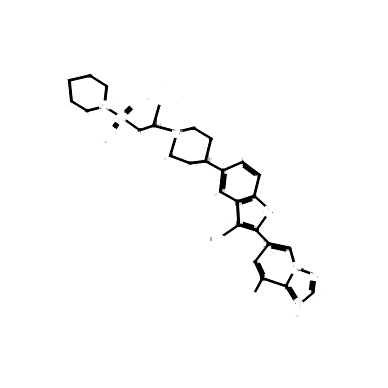 Cc1cc(-c2[nH]c3ccc(C4CCN(C(C)CS(=O)(=O)N5CCCCC5)CC4)cc3c2C(C)C)cn2ncnc12